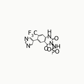 CS(=O)(=O)Nn1c(=O)[nH]c2cc(C(F)(F)F)c(-c3cncnc3)cc2c1=O